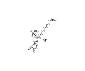 CCCCCCCCCCCCCCCCCCOC[C@H](CO[Si](C)(C)C(C)(C)C)OCc1ccc(Cl)c(Cl)c1.[H-].[Na+]